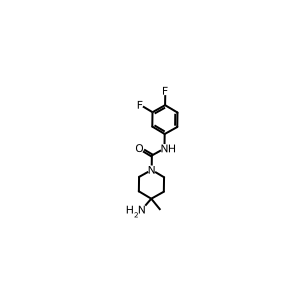 CC1(N)CCN(C(=O)Nc2ccc(F)c(F)c2)CC1